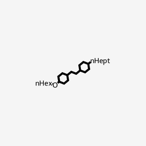 CCCCCCCC1CCC(CCC2CCC(OCCCCCC)CC2)CC1